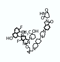 CCc1c(F)ccc2cc(O)cc(-c3ncc4c(N5CCC[C@@](C)(O)C5)nc(OCC5(CN6CCC7(CCC(N8CCN(c9ccc%10c(c9)CN([C@H]9CCC(=O)NC9=O)C%10=O)CC8)CC7)CC6)CC5)nc4c3F)c12